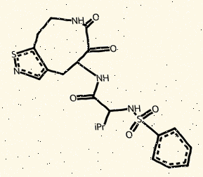 CC(C)C(NS(=O)(=O)c1ccccc1)C(=O)NC1Cc2cnsc2CCNC(=O)C1=O